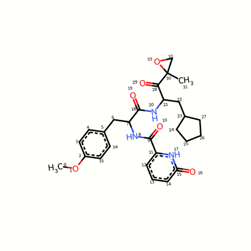 COc1ccc(CC(NC(=O)c2cccc(=O)[nH]2)C(=O)NC(CC2CCCC2)C(=O)C2(C)CO2)cc1